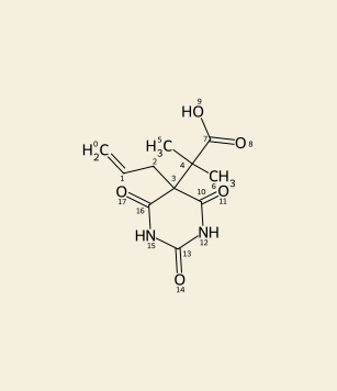 C=CCC1(C(C)(C)C(=O)O)C(=O)NC(=O)NC1=O